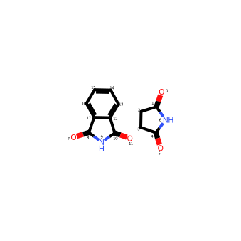 O=C1CCC(=O)N1.O=C1NC(=O)c2ccccc21